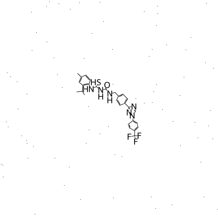 Cc1ccc(NC(S)NC(=O)NCc2ccc(-c3ncn(-c4ccc(C(F)(F)F)cc4)n3)cc2)c(C(C)C)c1